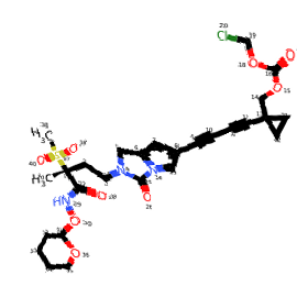 C[C@@](CCN1Cc2cc(C#CC#CC3(COC(=O)OCCl)CC3)cn2C1=O)(C(=O)NOC1CCCCO1)S(C)(=O)=O